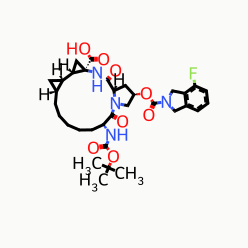 CC(C)(C)OC(=O)N[C@H]1CCCCC[C@@H]2C[C@@H]2[C@@H]2C[C@@]2(C(=O)O)NC(=O)[C@@H]2C[C@@H](OC(=O)N3Cc4cccc(F)c4C3)CN2C1=O